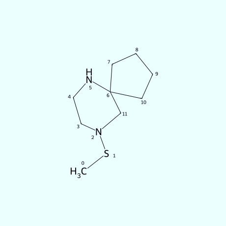 CSN1CCNC2(CCCC2)C1